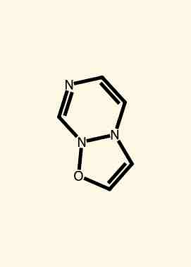 C1=CN2C=CON2C=N1